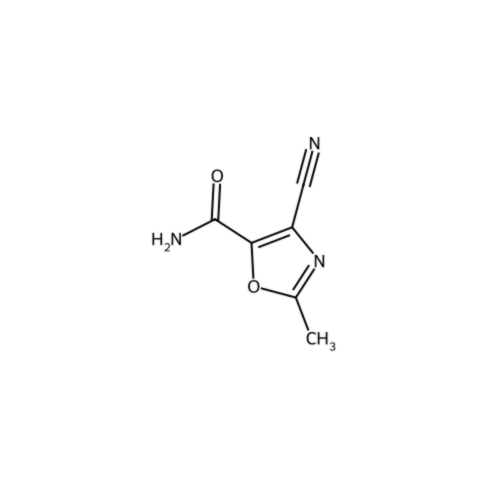 Cc1nc(C#N)c(C(N)=O)o1